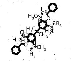 C[SiH](C)c1cc(C(C)(C)c2cc([SiH](C)C)c(OCc3ccccc3)c([SiH](C)C)c2)cc([SiH](C)C)c1OCc1ccccc1